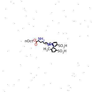 CCCCCCCCOC(=O)[C@@H](N)CCCCN.Cc1ccc(S(=O)(=O)O)cc1.Cc1ccc(S(=O)(=O)O)cc1